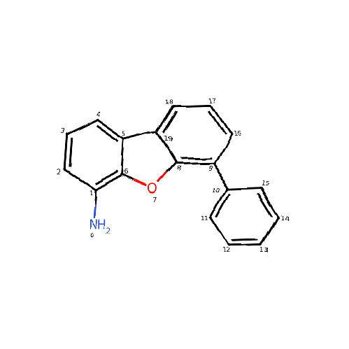 Nc1cccc2c1oc1c(-c3ccccc3)cccc12